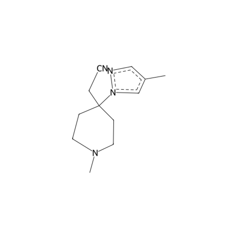 Cc1cnn(C2(CC#N)CCN(C)CC2)c1